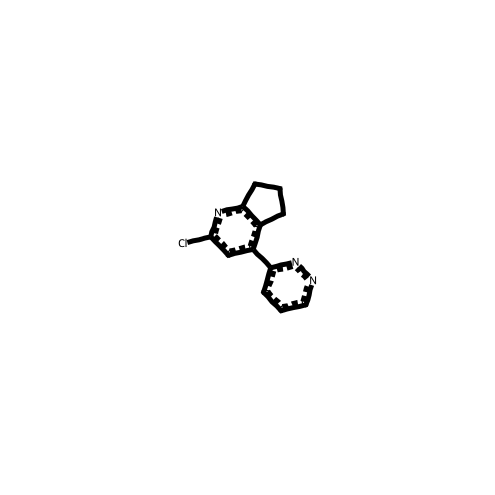 Clc1cc(-c2cccnn2)c2c(n1)CCC2